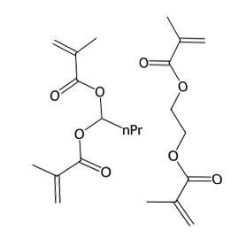 C=C(C)C(=O)OC(CCC)OC(=O)C(=C)C.C=C(C)C(=O)OCCOC(=O)C(=C)C